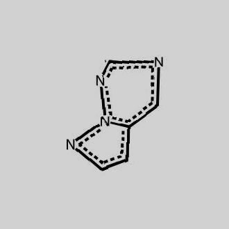 [c]1ncc2ccnn2n1